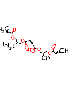 C=CC(=O)OCC(C)COC(=O)/C=C\C(=O)OCC(C)COC(=O)C=C